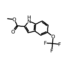 COC(=O)c1cc2cc(OC(F)(F)F)ccc2[nH]1